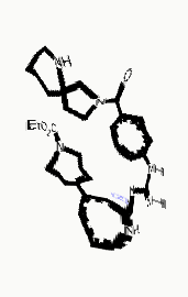 CCOC(=O)N1CC=C(c2ccc[nH]/c2=N\C(=N)Nc2ccc(C(=O)N3CCC4(CCCN4)C3)cc2)CC1